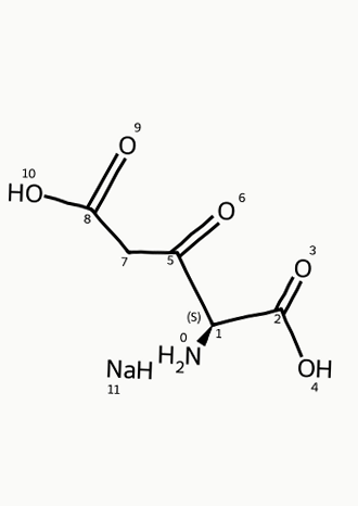 N[C@H](C(=O)O)C(=O)CC(=O)O.[NaH]